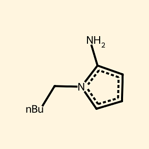 CCCCCn1cccc1N